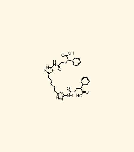 O=C(CCC(C(=O)O)c1ccccc1)Nc1nnc(CCSCCc2nnc(NC(=O)CCC(C(=O)O)c3ccccc3)s2)s1